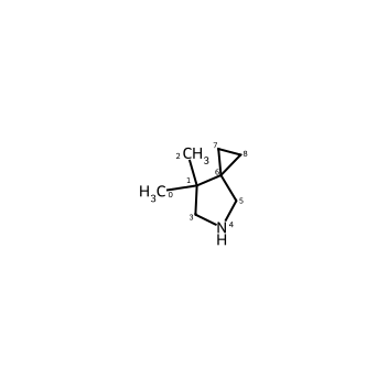 CC1(C)CNCC12CC2